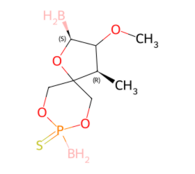 B[C@@H]1OC2(COP(B)(=S)OC2)[C@H](C)C1OC